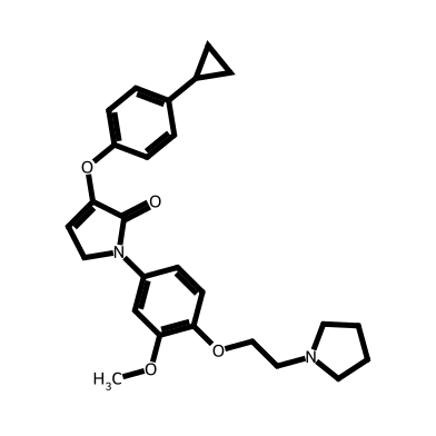 COc1cc(N2CC=C(Oc3ccc(C4CC4)cc3)C2=O)ccc1OCCN1CCCC1